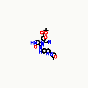 CC1CN(c2ccc3cc(Nc4nn([C@]5(CC#N)CC[C@@H](C(=O)OC(C)(C)C)OC5)c5cc[nH]c(=O)c45)ccc3n2)CCO1